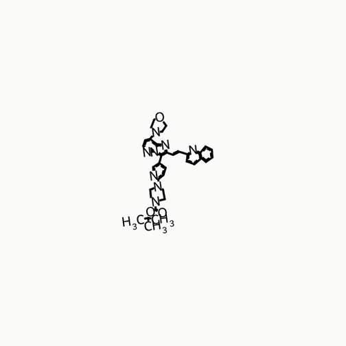 CC(C)(C)OC(=O)N1CCN(c2ccc(-c3c(/C=C/c4ccc5ccccc5n4)nc4c(N5CCOCC5)ccnn34)cn2)CC1